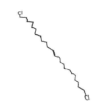 ClCCCCCCCCCCCC=CCCCCCCCCCCCCl